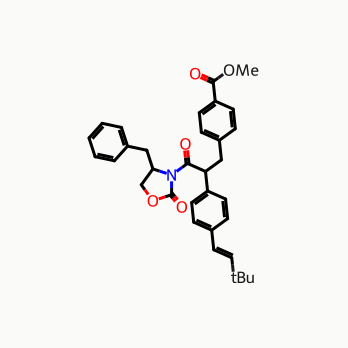 COC(=O)c1ccc(CC(C(=O)N2C(=O)OCC2Cc2ccccc2)c2ccc(/C=C/C(C)(C)C)cc2)cc1